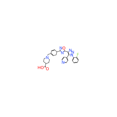 O=C(O)C1CCN(CC2=CCC(c3noc(-c4nnn(-c5ccccc5F)c4-c4ccncc4)n3)C=C2)CC1